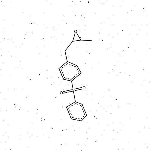 CC1OC1Cc1ccc(S(=O)(=O)c2ccccc2)cc1